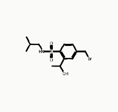 CC(C)CNS(=O)(=O)c1ccc(CBr)cc1C(C)O